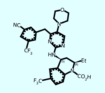 CC[C@@H]1C[C@H](Nc2ncc(N3CCOCC3)c(Cc3cc(C#N)cc(C(F)(F)F)c3)n2)c2cc(C(F)(F)F)ccc2N1C(=O)O